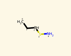 CCBSN